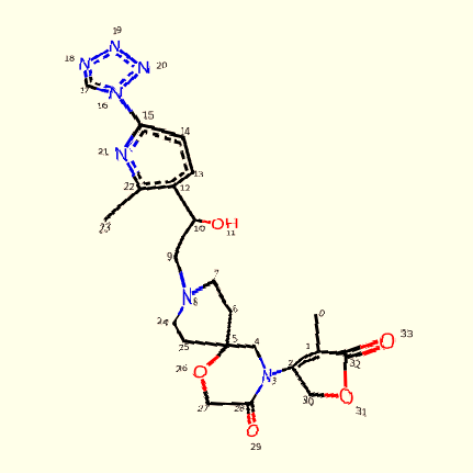 CC1=C(N2CC3(CCN(CC(O)c4ccc(-n5cnnn5)nc4C)CC3)OCC2=O)COC1=O